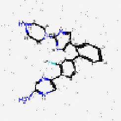 Nc1cnc(-c2ccc(-c3ccccc3-c3cnc(N4CCNCC4)nc3)cc2F)cn1